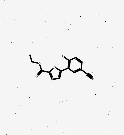 CCOC(=O)c1ncc(-c2cc(C#N)ccc2F)o1